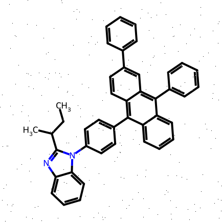 CCC(C)c1nc2ccccc2n1-c1ccc(-c2c3ccccc3c(-c3ccccc3)c3cc(-c4ccccc4)ccc23)cc1